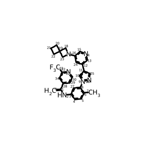 C=C(Nc1ccc(C)c(-n2cc(-c3cncc(N4CC5(CCC5)C4)c3)cn2)c1)c1ccnc(C(F)(F)F)c1